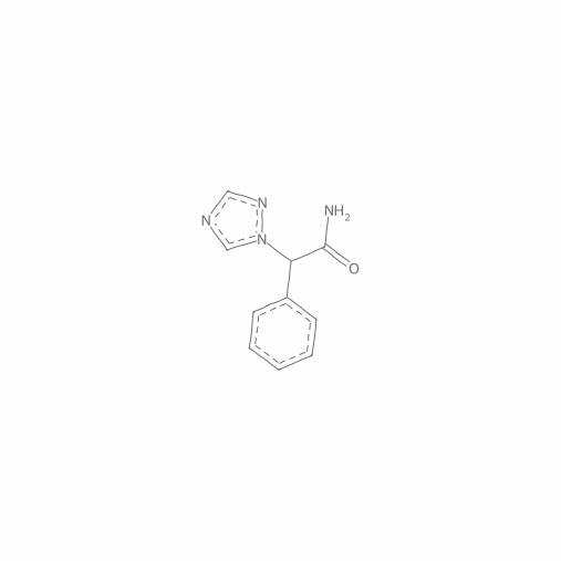 NC(=O)C(c1ccccc1)n1cncn1